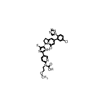 COCCN(C(=O)O)c1ccc(-c2nc(F)c([C@@H]3CCc4cc(-c5cc(Cl)ccc5-n5cnnn5)cc(=O)n43)[nH]2)cn1